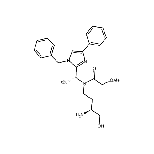 COCC(=O)N(CC[C@H](N)CO)[C@@H](c1nc(-c2ccccc2)cn1Cc1ccccc1)C(C)(C)C